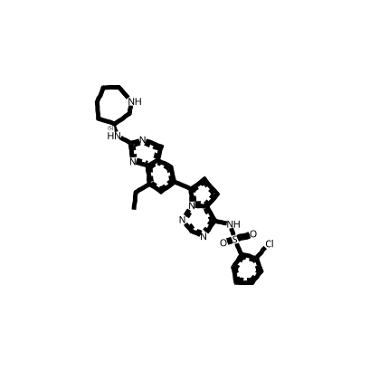 CCc1cc(-c2ccc3c(NS(=O)(=O)c4ccccc4Cl)ncnn23)cc2cnc(N[C@H]3CCCCNC3)nc12